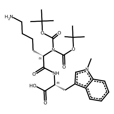 Cn1cc(C[C@@H](NC(=O)[C@H](CCCCN)N(C(=O)OC(C)(C)C)C(=O)OC(C)(C)C)C(=O)O)c2ccccc21